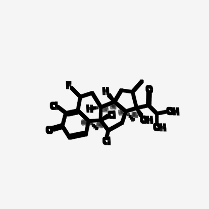 CC1C[C@H]2[C@@H]3CC(F)C4=C(Cl)C(=O)C=C[C@]4(C)[C@@]3(Cl)C(Cl)C[C@]2(C)[C@@]1(O)C(=O)C(O)O